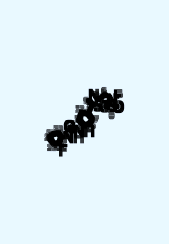 CS(=O)(=O)N(F)Cc1ncc(-c2ccc(NC(=O)Nc3ccccc3F)cc2)s1